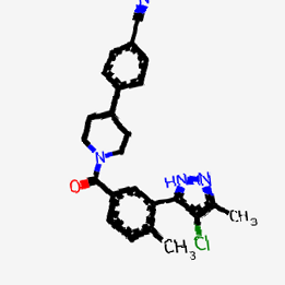 Cc1ccc(C(=O)N2CCC(c3ccc(C#N)cc3)CC2)cc1-c1[nH]nc(C)c1Cl